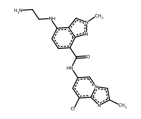 Cc1cn2cc(NC(=O)c3ccc(NCCN)c4cn(C)nc34)cc(Cl)c2n1